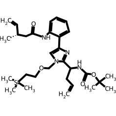 C=CCC(NC(=O)OC(C)(C)C)c1nc(-c2ccccc2NC(=O)C[C@H](C)C=C)cn1COCC[Si](C)(C)C